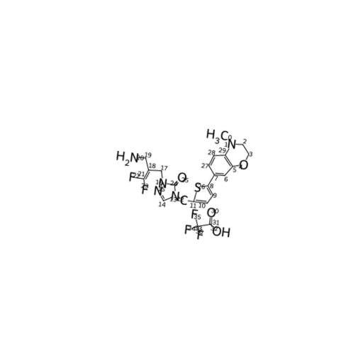 CN1CCOc2cc(-c3ccc(Cn4cnn(CC(CN)=C(F)F)c4=O)s3)ccc21.O=C(O)C(F)(F)F